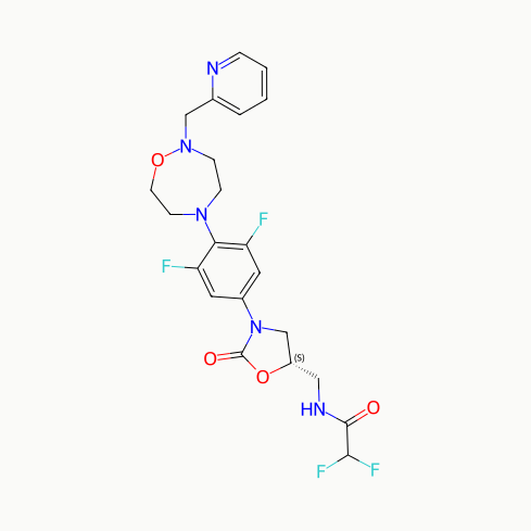 O=C(NC[C@H]1CN(c2cc(F)c(N3CCON(Cc4ccccn4)CC3)c(F)c2)C(=O)O1)C(F)F